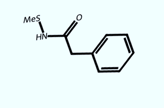 CSNC(=O)Cc1ccccc1